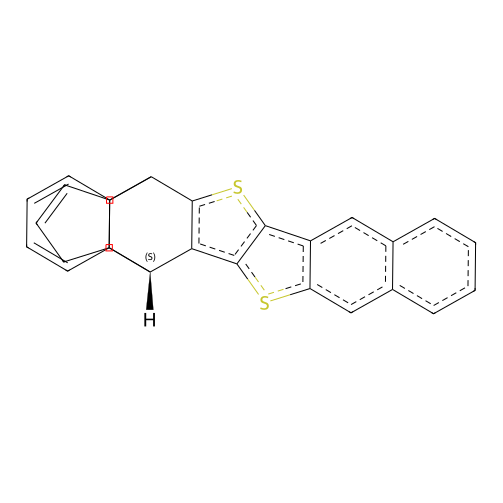 C1=CC2C3c4sc5c(sc6cc7ccccc7cc65)c4[C@H](C2C=C1)C1CC=CC31